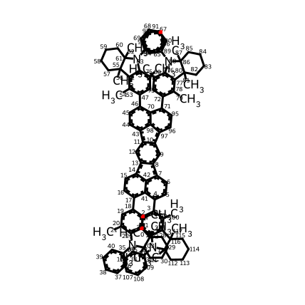 Cc1cc(-c2ccc3c4cc5c(cc4c4ccc(-c6cc(C)c7c(c6C)C6(C)CCCCC6(C)N7c6ccccc6)c2c34)c2ccc(-c3cc(C)c4c(c3C)C3(C)CCCCC3(C)N4c3ccccc3)c3c(-c4cc(C)c6c(c4C)C4(C)CCCCC4(C)N6c4ccccc4)ccc5c32)c(C)c2c1N(c1ccccc1)C1(C)CCCCC21C